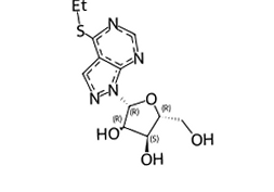 CCSc1ncnc2c1cnn2[C@@H]1O[C@H](CO)[C@@H](O)[C@H]1O